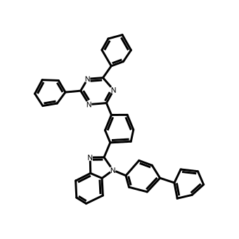 c1ccc(-c2ccc(-n3c(-c4cccc(-c5nc(-c6ccccc6)nc(-c6ccccc6)n5)c4)nc4ccccc43)cc2)cc1